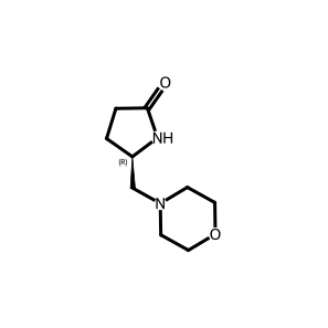 O=C1CC[C@H](CN2CCOCC2)N1